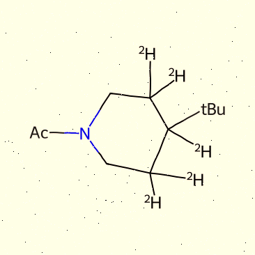 [2H]C1([2H])CN(C(C)=O)CC([2H])([2H])C1([2H])C(C)(C)C